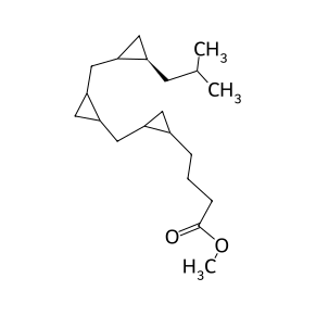 COC(=O)CCCC1CC1CC1CC1CC1C[C@H]1CC(C)C